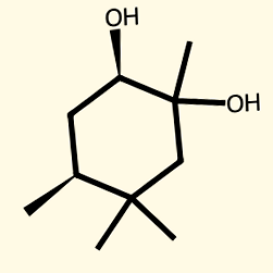 C[C@H]1C[C@@H](O)C(C)(O)CC1(C)C